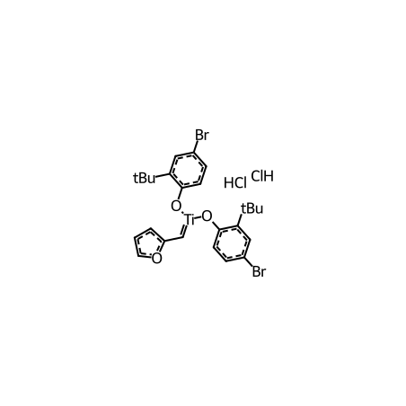 CC(C)(C)c1cc(Br)ccc1[O][Ti](=[CH]c1ccco1)[O]c1ccc(Br)cc1C(C)(C)C.Cl.Cl